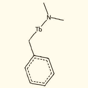 C[N](C)[Tb][CH2]c1ccccc1